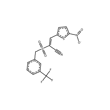 N#C/C(=C\c1ccc([N+](=O)[O-])s1)S(=O)(=O)Cc1cccc(C(F)(F)F)c1